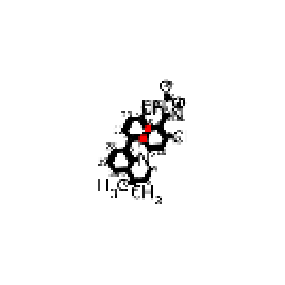 CC1(C)CCN(c2ccc(-c3noc(=O)[nH]3)c(Cl)c2)c2c(-c3ccc(C(F)(F)F)cc3)cccc21